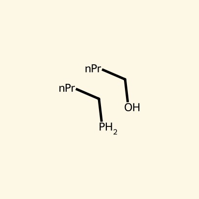 CCCCO.CCCCP